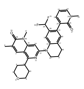 Cc1cc2c(C3CCOCC3)nc(N3CCCc4cc(-c5cccn(C)c5=O)c(C(F)F)cc43)cc2n(C)c1=O